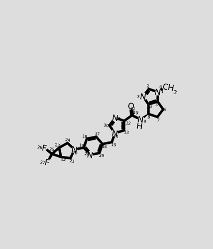 Cn1cnc2c1CC[C@H]2NC(=O)c1cn(Cc2ccc(N3CC4C(C3)C4(F)F)nc2)cn1